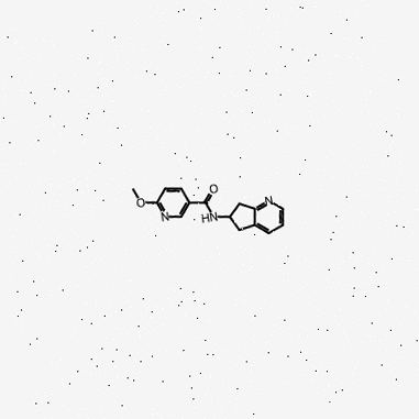 COc1ccc(C(=O)NC2Cc3cccnc3C2)cn1